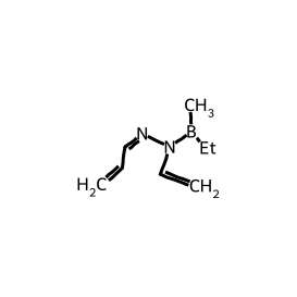 C=C/C=N\N(C=C)B(C)CC